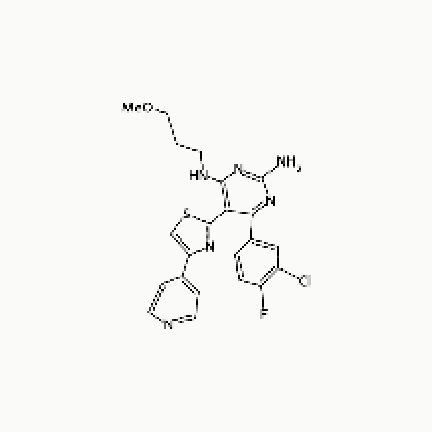 COCCCNc1nc(N)nc(-c2ccc(F)c(Cl)c2)c1-c1nc(-c2ccncc2)cs1